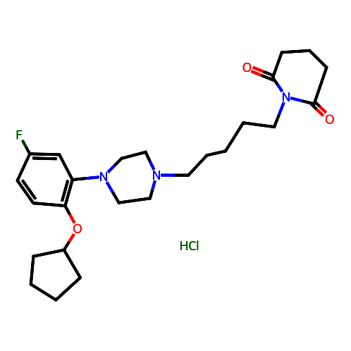 Cl.O=C1CCCC(=O)N1CCCCCN1CCN(c2cc(F)ccc2OC2CCCC2)CC1